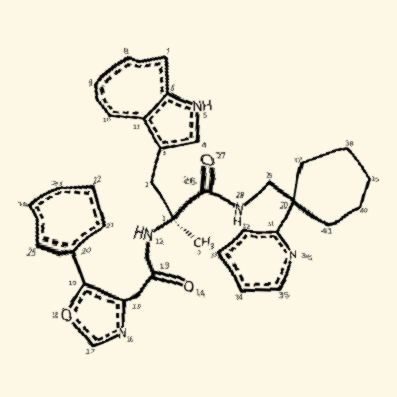 C[C@@](Cc1c[nH]c2ccccc12)(NC(=O)c1ncoc1-c1ccccc1)C(=O)NCC1(c2ccccn2)CCCCC1